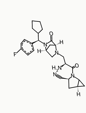 N#C[C@@H]1C[C@@H]2CC2N1C(=O)[C@@H](N)CN1C[C@@H]2C[C@H]1C(=O)N2[C@@H](c1ccc(F)cc1)C1CCCC1